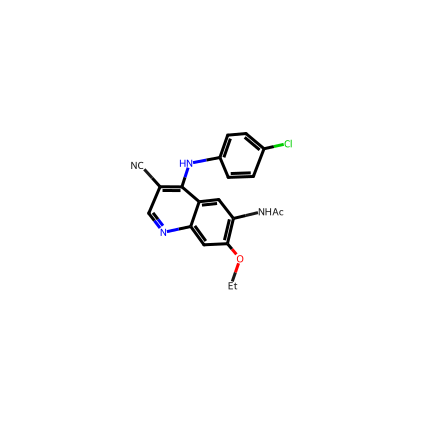 CCOc1cc2ncc(C#N)c(Nc3ccc(Cl)cc3)c2cc1NC(C)=O